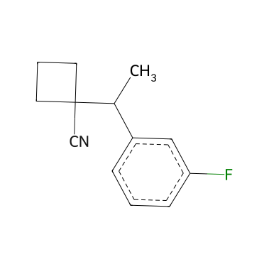 CC(c1cccc(F)c1)C1(C#N)CCC1